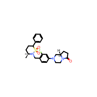 C[C@H]1CCC(c2ccccc2)S(=O)(=O)N1Cc1ccc(N2CCN3C(=O)CC[C@H]3C2)cc1F